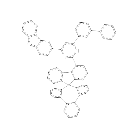 c1ccc(-c2cccc(-c3cc(-c4ccc5sc6ccccc6c5c4)nc(-c4cccc5c4-c4ccccc4C54c5ccccc5-c5ccccc5-c5ccccc54)n3)c2)cc1